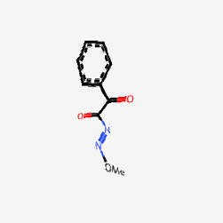 CON=NC(=O)C(=O)c1ccccc1